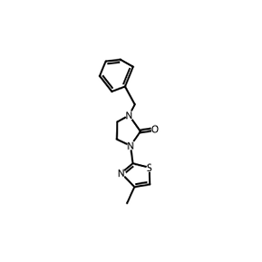 Cc1csc(N2CCN(Cc3ccccc3)C2=O)n1